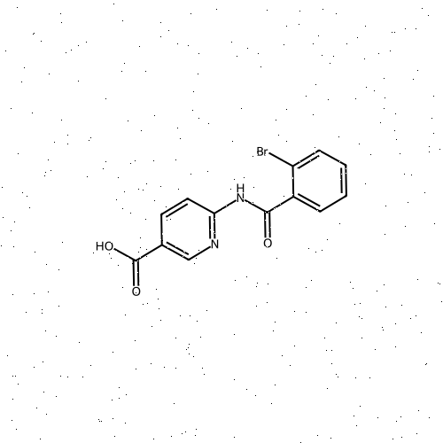 O=C(O)c1ccc(NC(=O)c2ccccc2Br)nc1